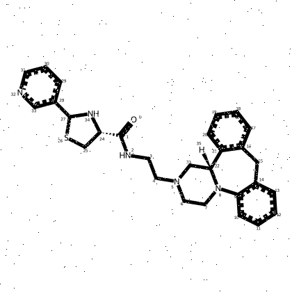 O=C(NCCN1CCN2c3ccccc3Cc3ccccc3[C@H]2C1)[C@@H]1CSC(c2cccnc2)N1